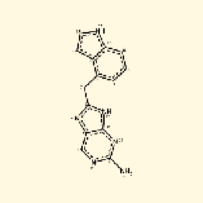 Nc1ncc2nc(Cc3cccc4[nH]ccc34)[nH]c2n1